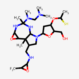 CC(S)OC1CC(N2CC(CNC3OC3C(F)(F)F)C3(C)C4OC4NC(C)(N(C)CN(C)C)NC23)OC1CO